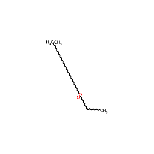 CCCCCCCC/C=C\CCCCCCCC(=O)OCCCCCCCCCCCCCCCCCCCCCCCCCCCCCCCCCC(C)C